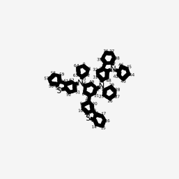 c1ccc(N(c2cc(-c3ccc4sc5ccccc5c4c3)cc(N(c3ccccc3)c3ccc4c5ccccc5n(-c5ccccc5)c4c3)c2)c2ccc3sc4ccccc4c3c2)cc1